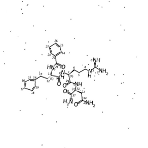 N=C(N)NCCC[C@H](NC(=O)[C@H](CCc1ccccc1)NC(=O)c1ccccc1)C(=O)N[C@@H](CC(N)=O)C(N)=O